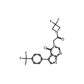 O=C(Cn1cnc2scc(-c3ccc(C(F)(F)F)cc3)c2c1=O)N1CC(F)(F)C1